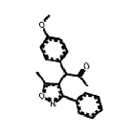 COc1ccc(C(C(C)=O)c2c(-c3ccccc3)noc2C)cc1